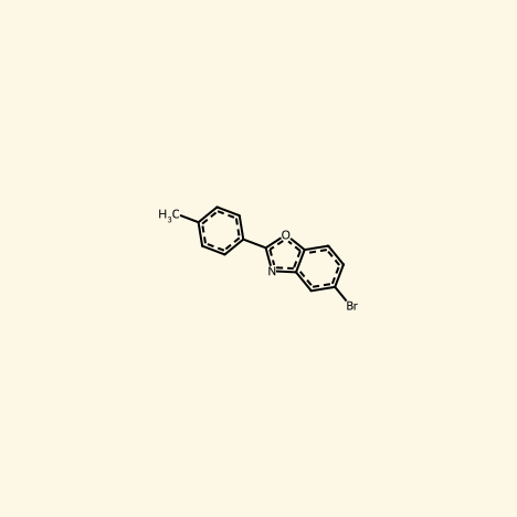 Cc1ccc(-c2nc3cc(Br)ccc3o2)cc1